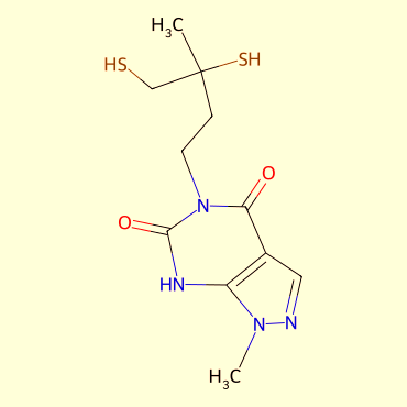 Cn1ncc2c(=O)n(CCC(C)(S)CS)c(=O)[nH]c21